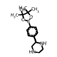 CC1(C)OB(c2ccc(C3CNCCN3)cc2)OC1(C)C